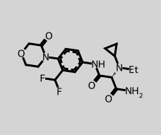 CCN(C1CC1)[C@H](C(N)=O)C(=O)Nc1ccc(N2CCOCC2=O)c(C(F)F)c1